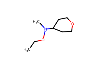 CCON(C)C1CCOCC1